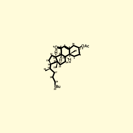 CC(=O)O[C@H]1CC[C@@]2(C)C(=CC(=O)[C@H]3[C@@H]4CC[C@H]([C@H](C)CCCC(C)(C)C)[C@@]4(C)CC[C@@H]32)C1